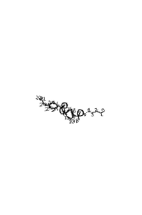 CCCCCCOC(C)c1ccc(OC(=O)c2ccc(CCC)cc2)cc1